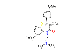 CCOC(=O)c1ccc2c(c1)N(CCN(C)C)C(=O)[C@H](OC(C)=O)[C@H](c1ccc(OC)cc1)S2